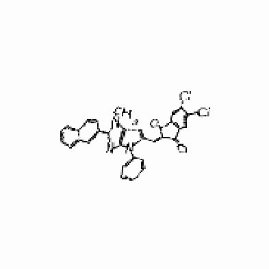 Cn1c(-c2ccc3ccccc3c2)nc2c1cc(C=C1C(=O)c3cc(Cl)c(Cl)cc3C1=O)n2-c1ccccc1